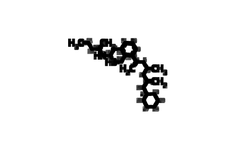 C=C(CC(C)CC(=C)c1cccc2c1CB[C@@H](NC(=C)CCC)C2)CC1CCCCC1